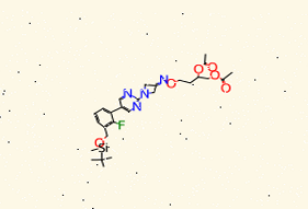 CC(=O)OCC(CCON=C1CN(c2ncc(-c3cccc(CO[Si](C)(C)C(C)(C)C)c3F)cn2)C1)OC(C)=O